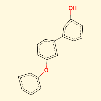 Oc1cccc(-c2cc[c]c(Oc3ccccc3)c2)c1